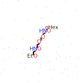 CCCCCCC(=O)NCCOCCOCCC(=O)NCCC(=O)CC